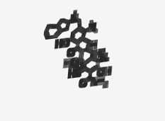 B=C1C(C(N)=O)=C(O)[C@@H](N(C)C)[C@@H]2C[C@@H]3Cc4c(c(O)cc(CN(C)C5Cc6ccccc6C5)c4N(C)C)C(=O)C3=C(O)[C@]12O